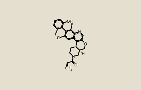 C=CC(=O)N1CCN2c3c(cnc4c(F)c(-c5c(O)cccc5F)c(Cl)cc34)OC[C@H]2C1